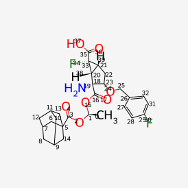 C[C@@H](OC(=O)C12CC3CC(CC(C3)C1)C2)OC(=O)[C@@]1(N)[C@H]2[C@@H](C[C@H]1OCc1ccc(F)cc1)[C@]2(F)C(=O)O